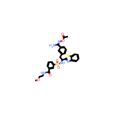 COCCNC(=O)c1cccc(S(=O)(=O)NC(Cc2cccc(/C(N)=N\OC(C)=O)c2)c2nc3ccccc3s2)c1